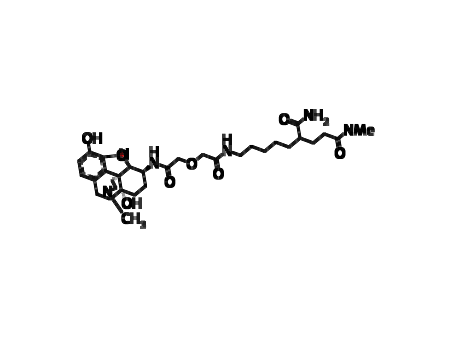 CNC(=O)CCC(CCCCCNC(=O)COCC(=O)N[C@H]1CC[C@@]2(O)C3Cc4ccc(O)c5c4[C@@]2(CCN3C)[C@H]1O5)C(N)=O